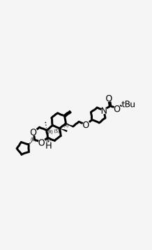 C=C1CCC2[C@]3(C)CO[C@@H](C4CCCC4)O[C@@H]3CC[C@@]2(C)[C@@H]1CCOC1CCN(C(=O)OC(C)(C)C)CC1